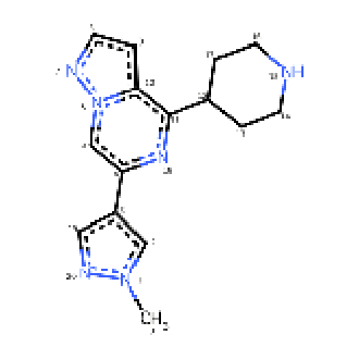 Cn1cc(-c2cn3nccc3c(C3CCNCC3)n2)cn1